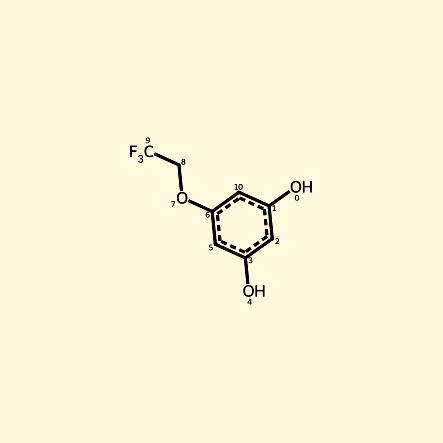 Oc1cc(O)cc(OCC(F)(F)F)c1